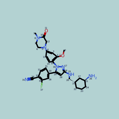 COc1cc(N2CCN(C)C(=O)C2)ccc1-n1nc(NC[C@H]2CCC[C@H](N)C2)cc1-c1ccc(C#N)c(F)c1